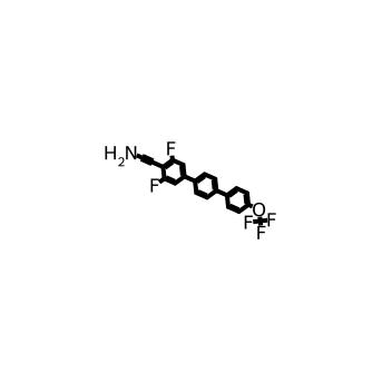 NC#Cc1c(F)cc(-c2ccc(-c3ccc(OC(F)(F)F)cc3)cc2)cc1F